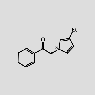 CCC1=C[C@H](CC(=O)C2=CCCC=C2)C=C1